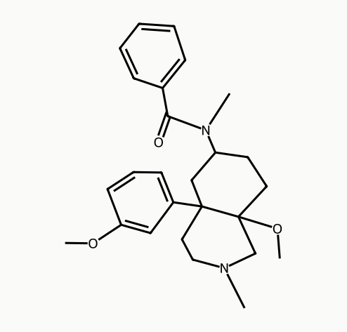 COc1cccc(C23CCN(C)CC2(OC)CCC(N(C)C(=O)c2ccccc2)C3)c1